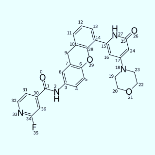 O=C(Nc1ccc2c(c1)Cc1cccc(-c3cc(N4CCOCC4)cc(=O)[nH]3)c1O2)c1ccnc(F)c1